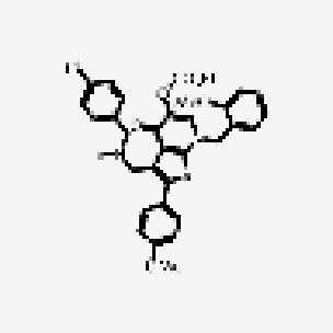 CCOC(=O)Oc1cn(Cc2ccccc2OC)c2sc(-c3ccc(OC)cc3)c(CN(C)Cc3ccc(Cl)cc3)c2c1=O